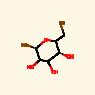 OC1C(O)[C@H](S)OC(CS)[C@@H]1O